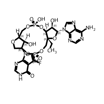 CC[C@@]12COP(=O)(S)O[C@]3(n4cc(F)c5c(=O)[nH]cnc54)CO[C@H](COP(=O)(O)O[C@H]1[C@@H](O)[C@H](n1cnc4c(N)ncnc41)O2)[C@H]3O